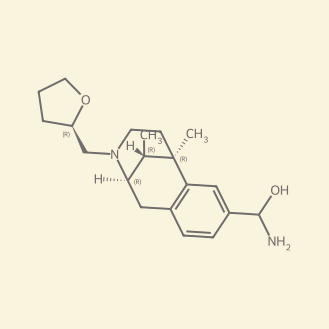 C[C@H]1[C@H]2Cc3ccc(C(N)O)cc3[C@]1(C)CCN2C[C@H]1CCCO1